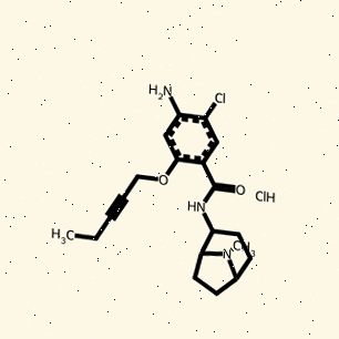 CCC#CCOc1cc(N)c(Cl)cc1C(=O)NC1CCC2CCC1N2C.Cl